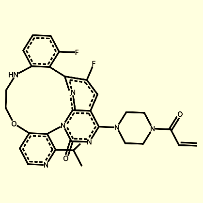 C=CC(=O)N1CCN(c2nc(=O)n3c4nc(c(F)cc24)-c2c(F)cccc2NCCOc2ccnc(C(C)C)c2-3)CC1